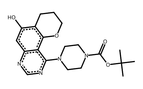 CC(C)(C)OC(=O)N1CCN(c2ncnc3cc(O)c4c(c23)OCCC4)CC1